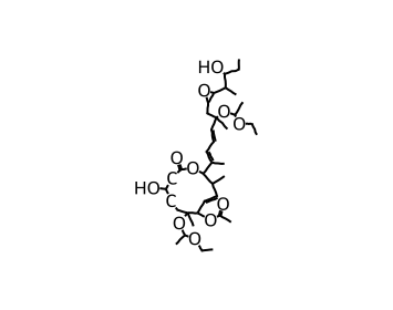 CCOC(C)OC(C)(/C=C/C=C(\C)C1OC(=O)CC(O)CCC(C)(OC(C)OCC)C(OC(C)=O)/C=C/C1C)CC1OC1C(C)C(O)CC